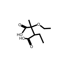 CCOC(C)(C(=O)O)C(CC)C(=O)O